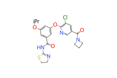 CC(C)Oc1cc(Oc2ncc(C(=O)N3CCC3)cc2Cl)cc(C(=O)NC2=NCCS2)c1